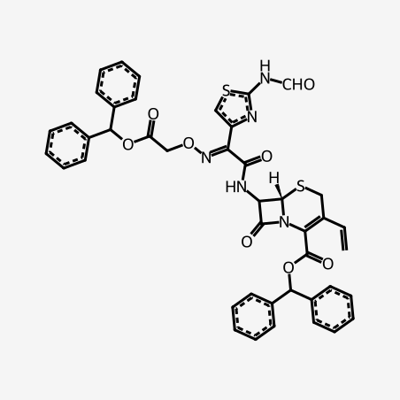 C=CC1=C(C(=O)OC(c2ccccc2)c2ccccc2)N2C(=O)C(NC(=O)C(=NOCC(=O)OC(c3ccccc3)c3ccccc3)c3csc(NC=O)n3)[C@@H]2SC1